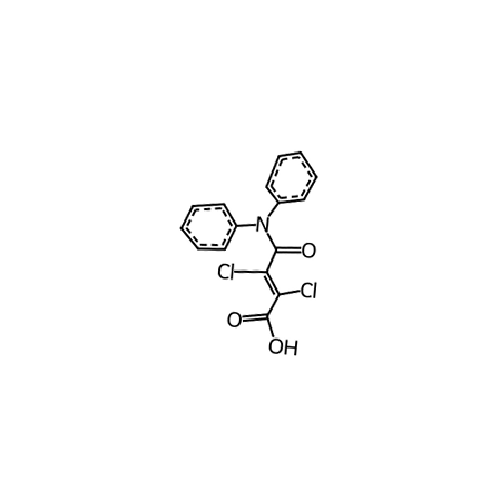 O=C(O)C(Cl)=C(Cl)C(=O)N(c1ccccc1)c1ccccc1